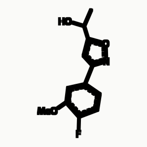 COc1cc(-c2cc(C(C)O)on2)ccc1F